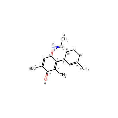 CCCCC1=CC(=O)C([C@@H]2C=C(C)CC[C@H]2C(C)=N)=C(C)C1=O